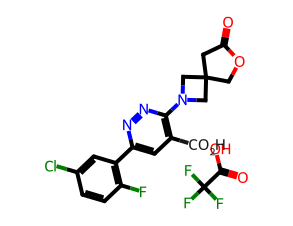 O=C(O)C(F)(F)F.O=C1CC2(CO1)CN(c1nnc(-c3cc(Cl)ccc3F)cc1C(=O)O)C2